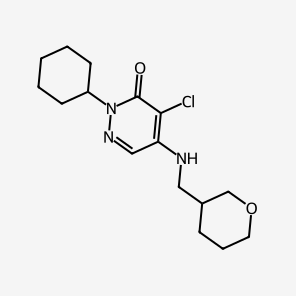 O=c1c(Cl)c(NCC2CCCOC2)cnn1C1CCCCC1